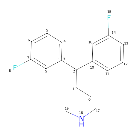 CCC(c1cccc(F)c1)c1cccc(F)c1.CNC